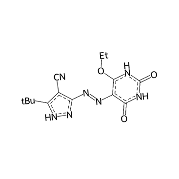 CCOc1[nH]c(=O)[nH]c(=O)c1/N=N/c1n[nH]c(C(C)(C)C)c1C#N